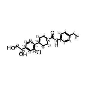 O=C(Nc1ccc(CF)cc1)N1CC=C(c2ncc([C@H](O)CO)cc2Cl)CC1